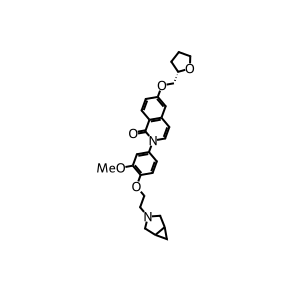 COc1cc(-n2ccc3cc(OC[C@@H]4CCCO4)ccc3c2=O)ccc1OCCN1CC2CC2C1